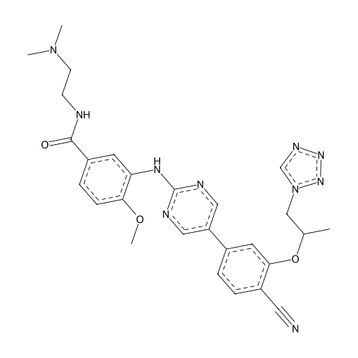 COc1ccc(C(=O)NCCN(C)C)cc1Nc1ncc(-c2ccc(C#N)c(OC(C)Cn3cnnn3)c2)cn1